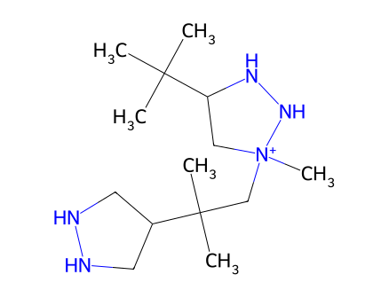 CC(C)(C)C1C[N+](C)(CC(C)(C)C2CNNC2)NN1